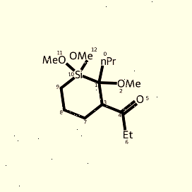 CCCC1(OC)C(C(=O)CC)CCC[Si]1(OC)OC